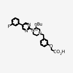 CCCC[C@H]1CN(Cc2cccc(OCC(=O)O)c2)CCN1c1ncc(-c2cccc(F)c2)cn1